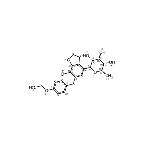 CCOc1ccc(Cc2cc([C@@H]3O[C@H](C)[C@@H](O)[C@H](O)[C@H]3O)c3c(c2Cl)OCC3)cc1